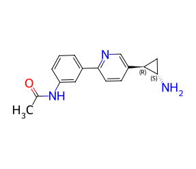 CC(=O)Nc1cccc(-c2ccc([C@H]3C[C@@H]3N)cn2)c1